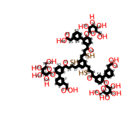 O=C(O)Cc1cccc(-c2cc(C(=O)CC(S)Cc3cc(CC(S)CC(=O)c4ccc(O[C@@H]5O[C@H](CO)[C@@H](O)[C@H](O)[C@@H]5O)c(-c5cccc(CC(=O)O)c5)c4)cc(CC(S)CC(=O)c4ccc(O[C@@H]5O[C@H](CO)[C@@H](O)[C@H](O)[C@@H]5O)c(-c5cccc(CC(=O)O)c5)c4)c3)ccc2O[C@@H]2O[C@H](CO)[C@@H](O)[C@H](O)[C@@H]2O)c1